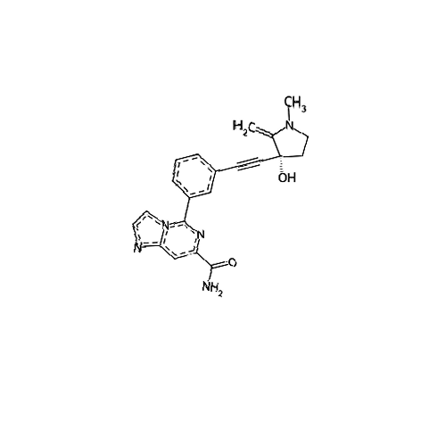 C=C1N(C)CC[C@@]1(O)C#Cc1cccc(-c2nc(C(N)=O)cc3nccn23)c1